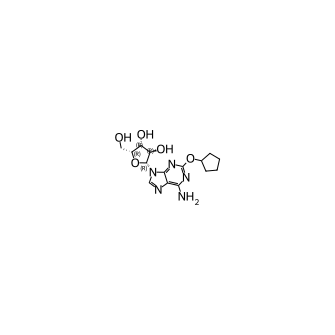 Nc1nc(OC2CCCC2)nc2c1ncn2[C@@H]1O[C@H](CO)[C@H](O)[C@H]1O